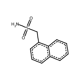 NS(=O)(=O)Cc1cccc2ccccc12